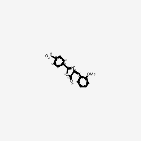 COc1ccccc1/C=C1/N=C(c2ccc([N+](=O)[O-])cc2)OC1=O